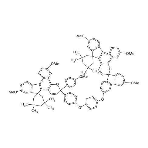 COc1ccc(C2(c3ccc(Oc4ccc(Oc5ccc(C6(c7ccc(OC)cc7)C=Cc7c8c(c9ccc(OC)cc9c7O6)-c6ccc(OC)cc6C86CC(C)(C)CC(C)(C)C6)cc5)cc4)cc3)C=Cc3c4c(c5ccc(OC)cc5c3O2)-c2ccc(OC)cc2C42CC(C)(C)CC(C)(C)C2)cc1